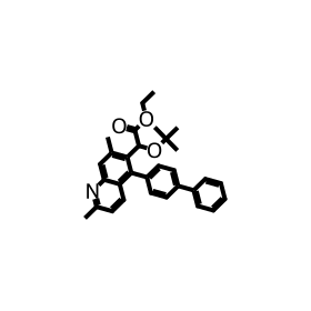 CCOC(=O)C(OC(C)(C)C)c1c(C)cc2nc(C)ccc2c1-c1ccc(-c2ccccc2)cc1